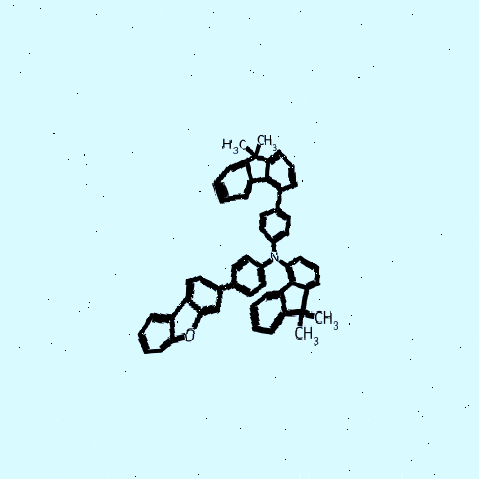 CC1(C)c2ccccc2-c2c(-c3ccc(N(c4ccc(-c5ccc6c(c5)oc5ccccc56)cc4)c4cccc5c4-c4ccccc4C5(C)C)cc3)cccc21